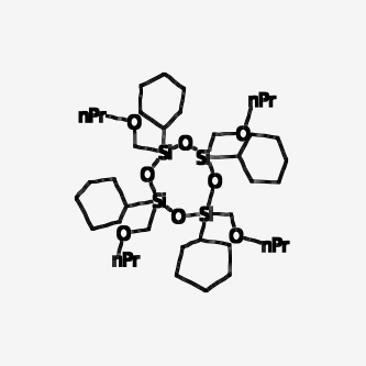 CCCOC[Si]1(C2CCCCC2)O[Si](COCCC)(C2CCCCC2)O[Si](COCCC)(C2CCCCC2)O[Si](COCCC)(C2CCCCC2)O1